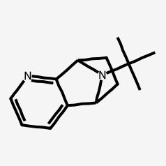 CC(C)(C)N1C2CCC1c1ncccc12